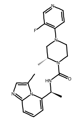 Cc1cnc2cccc([C@H](C)NC(=O)N3CCN(c4ccncc4F)C[C@H]3C)n12